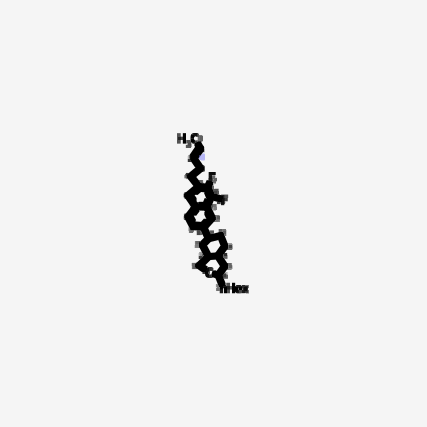 C/C=C/CCc1cc2ccc(C3CCC4CC(CCCCCC)CCC4C3)cc2c(F)c1F